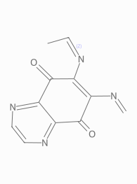 C=NC1=C(/N=C\C)C(=O)c2nccnc2C1=O